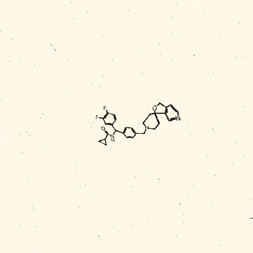 O=C(NC(c1ccc(CN2CCC3(CC2)OCc2ccncc23)cc1)c1ccc(F)c(F)c1)C1CC1